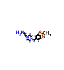 CS(=O)(=O)c1ccc(CN2CCN(CCN)CC2)cc1